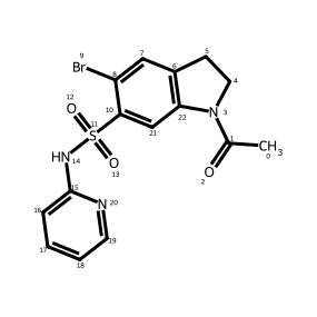 CC(=O)N1CCc2cc(Br)c(S(=O)(=O)Nc3ccccn3)cc21